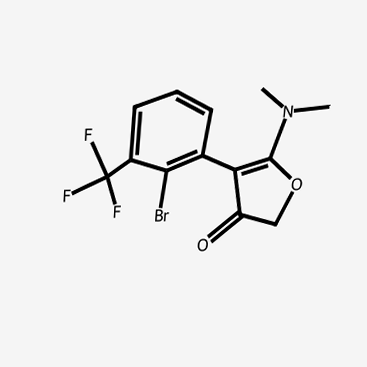 CN(C)C1=C(c2cccc(C(F)(F)F)c2Br)C(=O)CO1